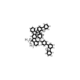 CC1(C)c2ccccc2-c2cc3c(cc21)-c1c(N(c2ccc(-c4cccc5c4oc4ccccc45)cc2)c2ccc(-c4cccc5c4oc4ccccc45)cc2)cccc1C3(C)C